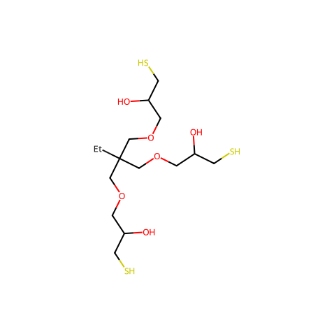 CCC(COCC(O)CS)(COCC(O)CS)COCC(O)CS